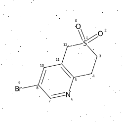 O=S1(=O)CCc2ncc(Br)cc2C1